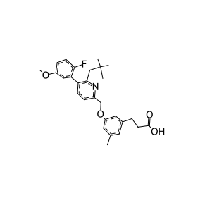 COc1ccc(F)c(-c2ccc(COc3cc(C)cc(CCC(=O)O)c3)nc2CC(C)(C)C)c1